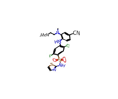 CNCCN(C)c1cc(C#N)ccc1Nc1cc(F)c(S(=O)(=O)Nc2nccs2)cc1Cl